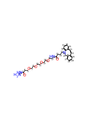 NNC(=O)CCOCCOCCOCCOCCNC(=O)CCCN1Cc2ccccc2/C=C\c2ccccc21